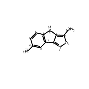 Bc1onc2c1Bc1ccc(S)cc1-2